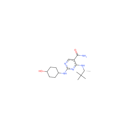 C[C@@H](Nc1nc(NC2CCC(O)CC2)ncc1C(N)=O)C(C)(C)C